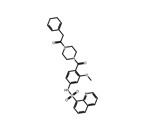 COc1cc(NS(=O)(=O)c2cccc3cccnc23)ccc1C(=O)N1CCN(C(=O)CC2=CCCC=C2)CC1